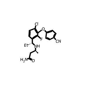 CC[C@@H](N[C@@H](C)CC(N)=O)c1ccc(Cl)c(Oc2ccc(C#N)cc2)c1F